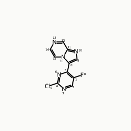 Fc1cnc(Cl)nc1-c1cnc2cnccn12